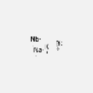 [Bi].[K].[Na].[Nb]